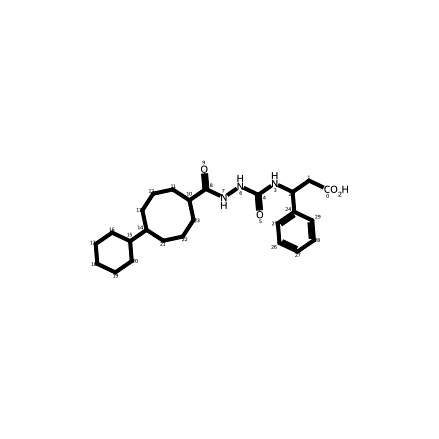 O=C(O)CC(NC(=O)NNC(=O)C1CCCC(C2CCCCC2)CCC1)c1ccccc1